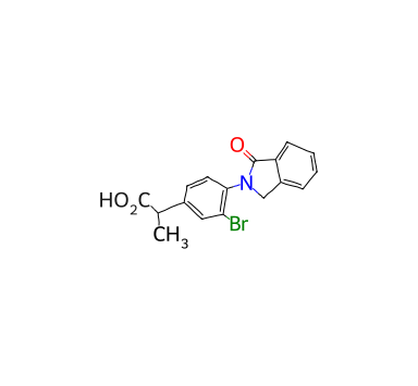 CC(C(=O)O)c1ccc(N2Cc3ccccc3C2=O)c(Br)c1